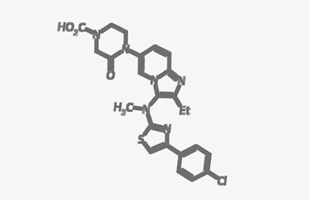 CCc1nc2ccc(N3CCN(C(=O)O)CC3=O)cn2c1N(C)c1nc(-c2ccc(Cl)cc2)cs1